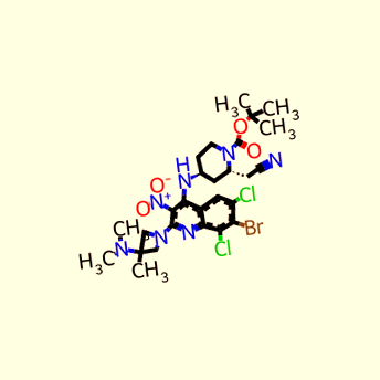 CN(C)C1(C)CN(c2nc3c(Cl)c(Br)c(Cl)cc3c(N[C@H]3CCN(C(=O)OC(C)(C)C)[C@H](CC#N)C3)c2[N+](=O)[O-])C1